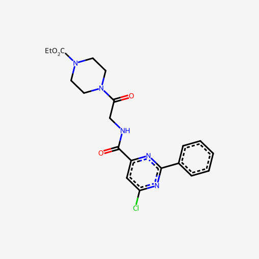 CCOC(=O)N1CCN(C(=O)CNC(=O)c2cc(Cl)nc(-c3ccccc3)n2)CC1